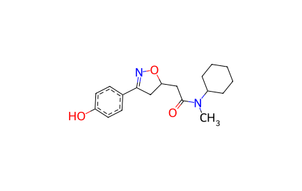 CN(C(=O)CC1CC(c2ccc(O)cc2)=NO1)C1CCCCC1